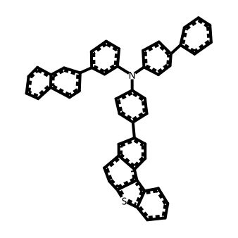 c1ccc(-c2ccc(N(c3ccc(-c4ccc5c(ccc6sc7ccccc7c65)c4)cc3)c3cccc(-c4ccc5ccccc5c4)c3)cc2)cc1